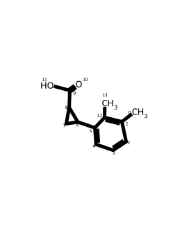 Cc1cccc(C2CC2C(=O)O)c1C